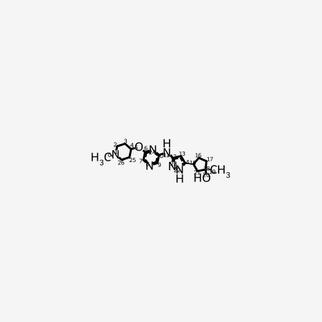 CN1CCC(Oc2cncc(Nc3cc([C@H]4CC[C@@](C)(O)C4)[nH]n3)n2)CC1